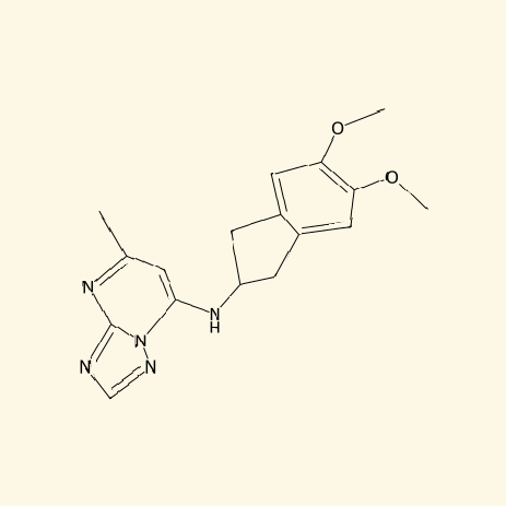 COc1cc2c(cc1OC)CC(Nc1cc(C)nc3ncnn13)C2